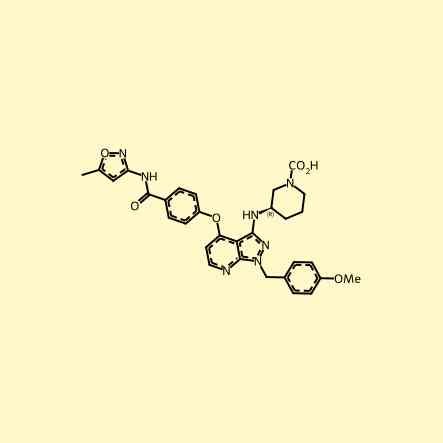 COc1ccc(Cn2nc(N[C@@H]3CCCN(C(=O)O)C3)c3c(Oc4ccc(C(=O)Nc5cc(C)on5)cc4)ccnc32)cc1